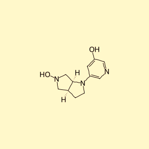 Oc1cncc(N2CC[C@H]3CN(O)C[C@H]32)c1